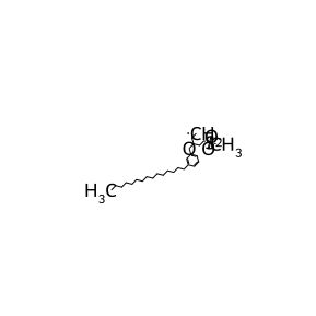 [CH2]CC(CCS(C)(=O)=O)Oc1cccc(CCCCCCCCCCCCCCC)c1